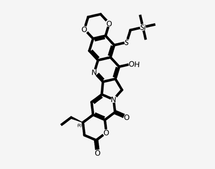 CC[C@@H]1CC(=O)Oc2c1cc1n(c2=O)Cc2c-1nc1cc3c(c(SC[Si](C)(C)C)c1c2O)OCCO3